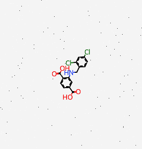 O=C(O)c1ccc(C(=O)O)c(NCc2ccc(Cl)cc2Cl)c1